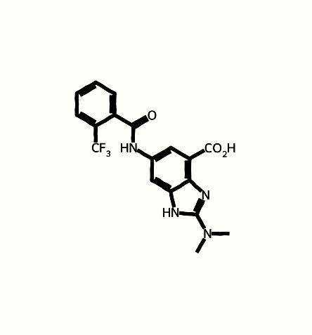 CN(C)c1nc2c(C(=O)O)cc(NC(=O)c3ccccc3C(F)(F)F)cc2[nH]1